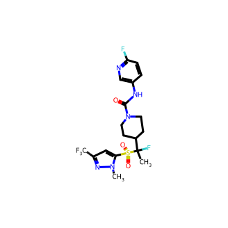 Cn1nc(C(F)(F)F)cc1S(=O)(=O)C(C)(F)C1CCN(C(=O)Nc2ccc(F)nc2)CC1